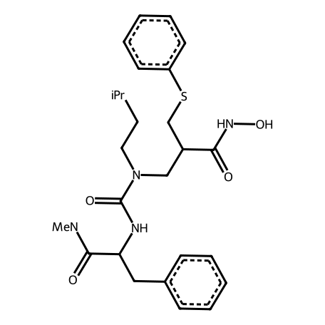 CNC(=O)C(Cc1ccccc1)NC(=O)N(CCC(C)C)CC(CSc1ccccc1)C(=O)NO